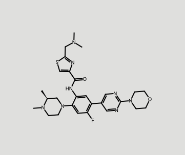 C[C@H]1CN(c2cc(F)c(-c3cnc(N4CCOCC4)nc3)cc2NC(=O)c2csc(CN(C)C)n2)CCN1C